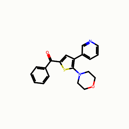 O=C(c1ccccc1)c1cc(-c2cccnc2)c(N2CCOCC2)s1